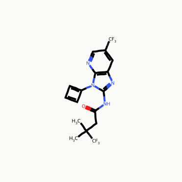 CC(C)(CC(=O)Nc1nc2cc(C(F)(F)F)cnc2n1C1=CC=C1)C(F)(F)F